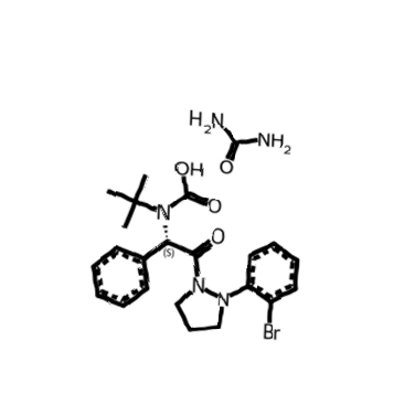 CC(C)(C)N(C(=O)O)[C@H](C(=O)N1CCCN1c1ccccc1Br)c1ccccc1.NC(N)=O